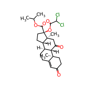 CC(C)OC(=O)[C@@]1(OC(=O)C(Cl)Cl)CC[C@H]2[C@@H]3CCC4=CC(=O)CC[C@]4(C)[C@H]3C(=O)C[C@@]21C